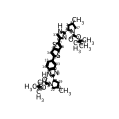 C[C@H]1C[C@@H](c2nc(-c3cc4sc(-c5ccc6[nH]c([C@@H]7C[C@H](C)CN7C(=O)OC(C)(C)C)nc6c5)cc4s3)c[nH]2)N(C(=O)OC(C)(C)C)C1